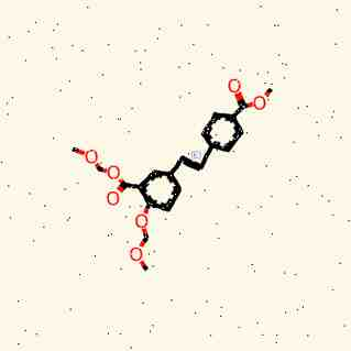 COCOC(=O)c1cc(/C=C/c2ccc(C(=O)OC)cc2)ccc1OCOC